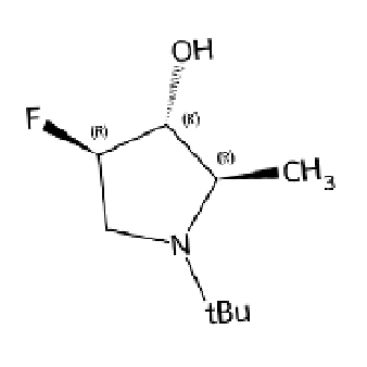 C[C@@H]1[C@@H](O)[C@H](F)CN1C(C)(C)C